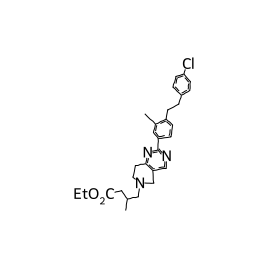 CCOC(=O)CC(C)CN1CCc2nc(-c3ccc(CCc4ccc(Cl)cc4)c(C)c3)ncc2C1